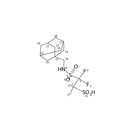 CC(C)(C(F)(F)S(=O)(=O)NCC12CC3CC(CC(C3)C1)C2)S(=O)(=O)O